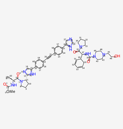 COC(=O)N[C@H](C(=O)N1CCC[C@H]1c1ncc(-c2ccc(C#Cc3ccc(-c4cnc([C@@H]5CCCN5C(=O)[C@@H](NC(=O)N5CCN(CCO)CC5)C5C=CC=CC5)[nH]4)cc3)cc2)[nH]1)C(C)C